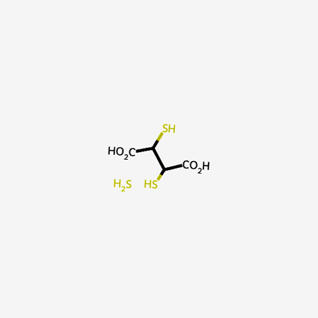 O=C(O)C(S)C(S)C(=O)O.S